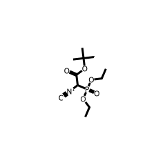 [C-]#[N+]C(C(=O)OC(C)(C)C)P(=O)(OCC)OCC